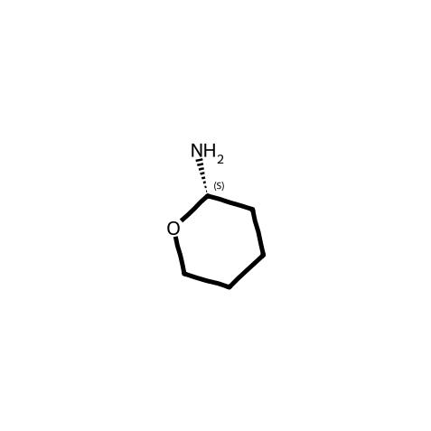 N[C@@H]1CCCCO1